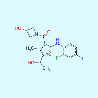 Cc1c(C(C)O)sc(Nc2ccc(I)cc2F)c1C(=O)N1CC(O)C1